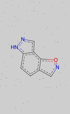 c1cc2[nH]ncc2c2oncc12